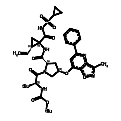 C=C[C@@H]1C[C@]1(NC(=O)[C@@H]1C[C@@H](Oc2cc(-c3ccccc3)nc3c(C)noc23)CN1C(=O)[C@@H](NC(=O)OC(C)(C)C)C(C)(C)C)C(=O)NS(=O)(=O)C1CC1